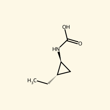 CC[C@H]1C[C@@H]1NC(=O)O